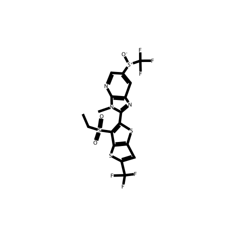 CCS(=O)(=O)c1c(-c2nc3cc([S+]([O-])C(F)(F)F)cnc3n2C)sc2cc(C(F)(F)F)sc12